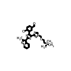 Cc1nn2ccccc2c1-c1nc(-c2cc(C=O)ccc2Cl)c(-c2ncn(COCC[Si](C)(C)C)n2)s1